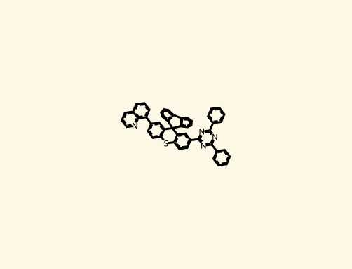 c1ccc(-c2nc(-c3ccccc3)nc(-c3ccc4c(c3)C3(c5cc(-c6cccc7cccnc67)ccc5S4)c4ccccc4-c4ccccc43)n2)cc1